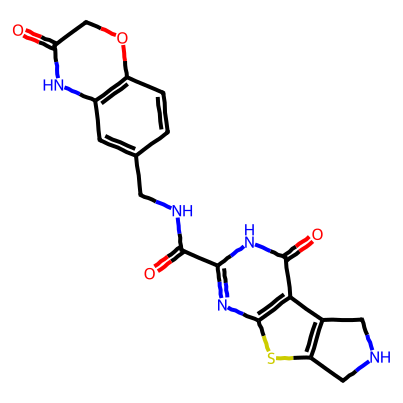 O=C1COc2ccc(CNC(=O)c3nc4sc5c(c4c(=O)[nH]3)CNC5)cc2N1